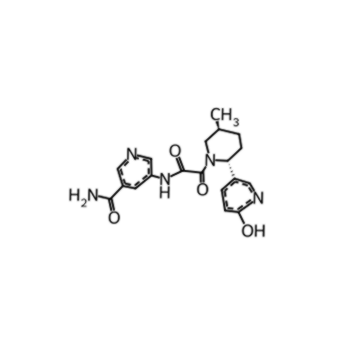 C[C@H]1CC[C@H](c2ccc(O)nc2)N(C(=O)C(=O)Nc2cncc(C(N)=O)c2)C1